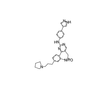 O=C1Cc2cnc(Nc3ccc(-c4cn[nH]c4)cc3)nc2-c2ccc(CCCN3CCCC3)cc2N1